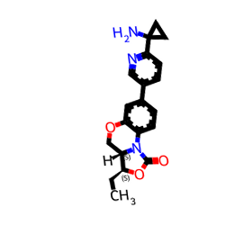 CC[C@@H]1OC(=O)N2c3ccc(-c4ccc(C5(N)CC5)nc4)cc3OC[C@@H]12